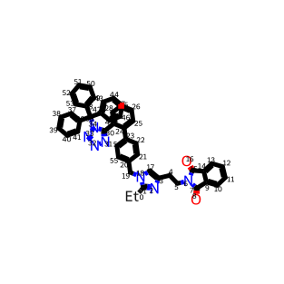 CCc1nc(CCN2C(=O)c3ccccc3C2=O)cn1Cc1ccc(-c2ccccc2-c2nnnn2C(c2ccccc2)(c2ccccc2)c2ccccc2)cc1